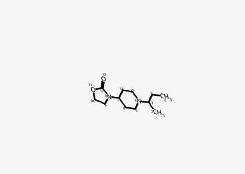 CCC(C)N1CCC(N2CCOC2=O)CC1